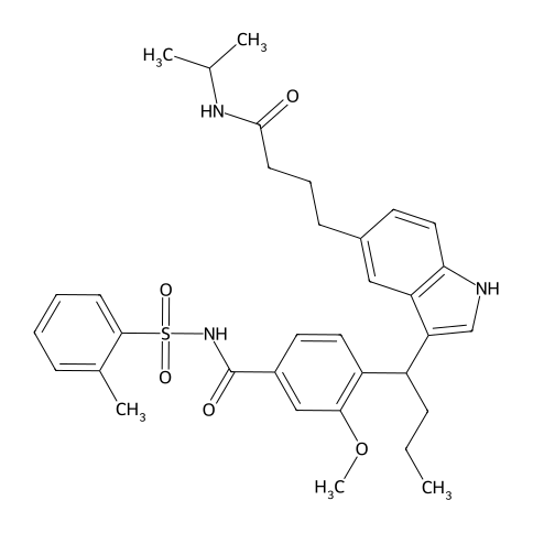 CCCC(c1ccc(C(=O)NS(=O)(=O)c2ccccc2C)cc1OC)c1c[nH]c2ccc(CCCC(=O)NC(C)C)cc12